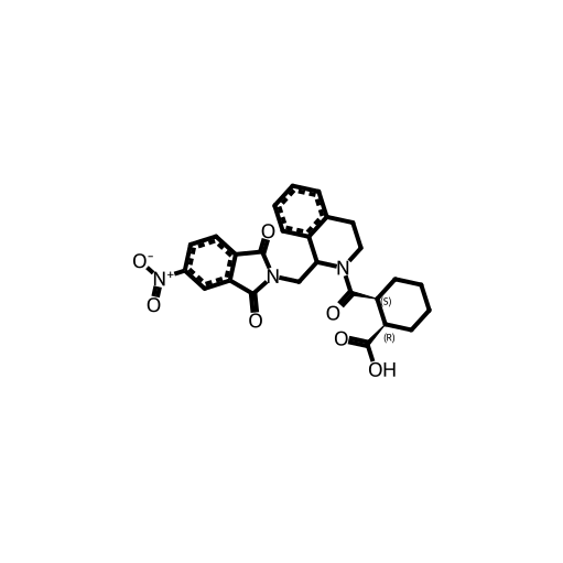 O=C(O)[C@@H]1CCCC[C@@H]1C(=O)N1CCc2ccccc2C1CN1C(=O)c2ccc([N+](=O)[O-])cc2C1=O